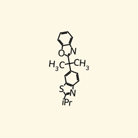 CC(C)c1nc2ccc(C(C)(C)c3nc4ccccc4o3)cc2s1